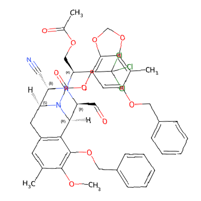 COc1c(C)cc2c(c1OCc1ccccc1)[C@@H]1[C@H](C=O)N([C@@H](COC(C)=O)c3cc(OCc4ccccc4)c(C)c4c3OCO4)[C@@H](C#N)[C@H](C2)N1C(=O)OCC(Cl)(Cl)Cl